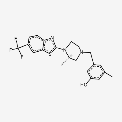 Cc1cc(O)cc(CN2CCN(c3nc4ccc(C(F)(F)F)cc4s3)[C@@H](C)C2)c1